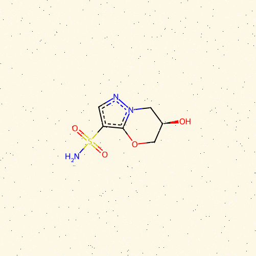 NS(=O)(=O)c1cnn2c1OC[C@H](O)C2